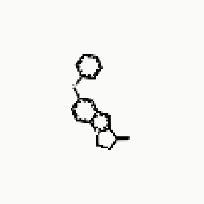 O=C1CCn2c1cc1cc(Oc3ccccc3)ccc12